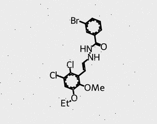 CCOc1cc(Cl)c(Cl)c(/C=C/NNC(=O)c2cccc(Br)c2)c1OC